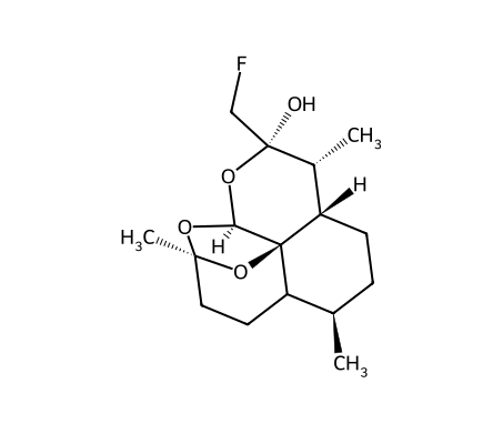 C[C@@H]1CC[C@H]2[C@@H](C)[C@](O)(CF)O[C@@H]3O[C@]4(C)CCC1[C@]32O4